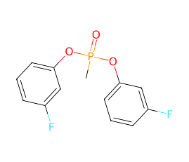 CP(=O)(Oc1cccc(F)c1)Oc1cccc(F)c1